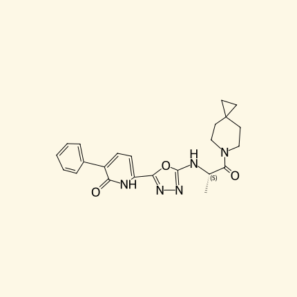 C[C@H](Nc1nnc(-c2ccc(-c3ccccc3)c(=O)[nH]2)o1)C(=O)N1CCC2(CC1)CC2